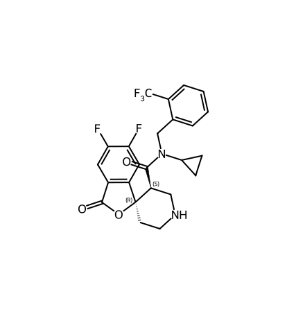 O=C1O[C@@]2(CCNC[C@@H]2C(=O)N(Cc2ccccc2C(F)(F)F)C2CC2)c2cc(F)c(F)cc21